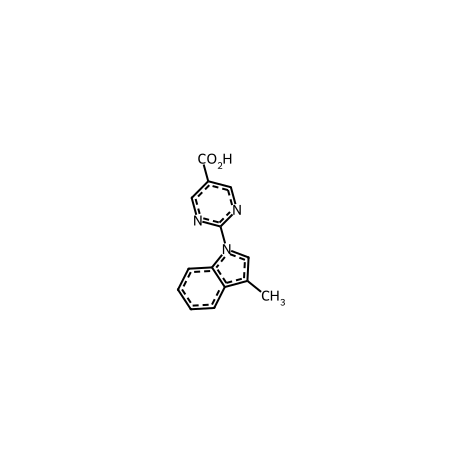 Cc1cn(-c2ncc(C(=O)O)cn2)c2ccccc12